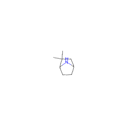 CC1(C)CC2CCC1N2